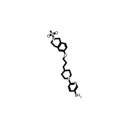 Bc1ccc(N2CCC(CCCOc3ccc4c(c3)CCN(S(C)(=O)=O)C4)CC2)nc1